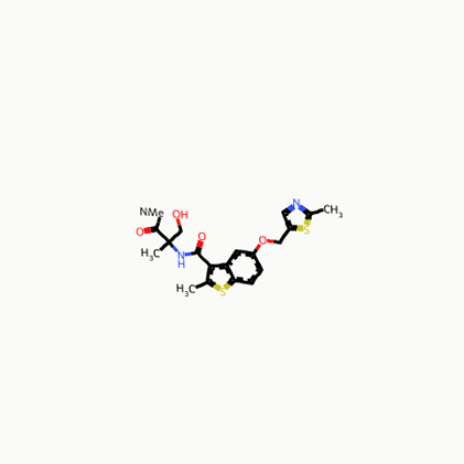 CNC(=O)C(C)(CO)NC(=O)c1c(C)sc2ccc(OCc3cnc(C)s3)cc12